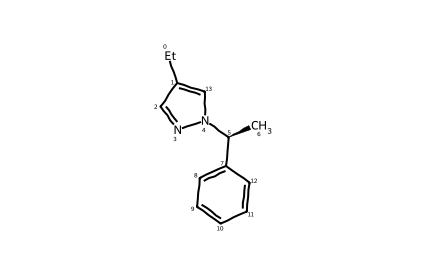 CCc1cnn([C@@H](C)c2ccccc2)c1